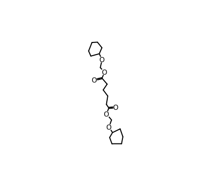 O=C(CCCCC(=O)OCOC1CCCCC1)OCOC1CCCCC1